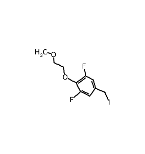 COCCOc1c(F)cc(CI)cc1F